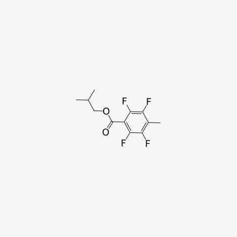 Cc1c(F)c(F)c(C(=O)OCC(C)C)c(F)c1F